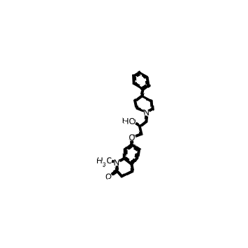 CN1C(=O)CCc2ccc(OCC(O)CN3CCC(c4ccccc4)CC3)cc21